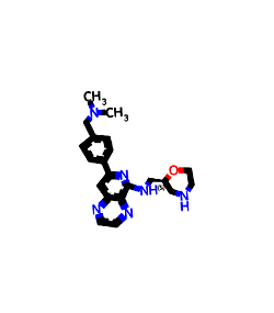 CN(C)Cc1ccc(-c2cc3nccnc3c(NC[C@@H]3CNCCO3)n2)cc1